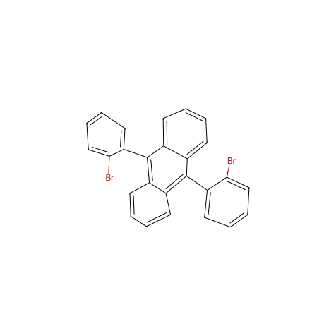 Brc1ccccc1-c1c2ccccc2c(-c2ccccc2Br)c2ccccc12